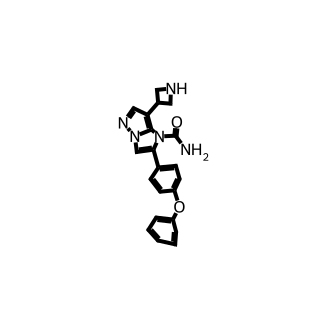 NC(=O)n1c(-c2ccc(Oc3ccccc3)cc2)cn2ncc(C3CNC3)c12